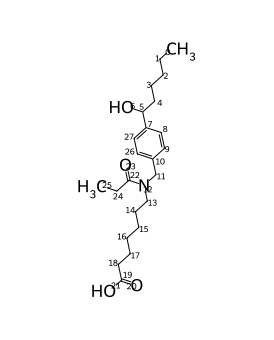 CCCCCC(O)c1ccc(CN(CCCCCCC(=O)O)C(=O)CC)cc1